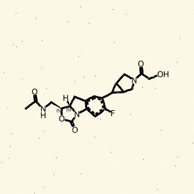 CC(=O)NC[C@@H]1OC(=O)N2c3cc(F)c(C4C5CN(C(=O)CO)CC54)cc3C[C@@H]12